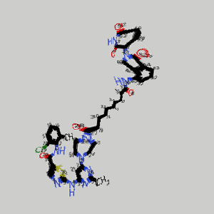 Cc1nc(Nc2ncc(C(=O)Nc3c(C)cccc3Cl)s2)cc(N2CCN(C(=O)CCCCCCCCC(=O)Nc3cccc4c3CN(C3CCC(=O)NC3=O)C4=O)CC2)n1